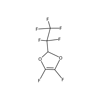 FC1=C(F)OC(C(F)(F)C(F)(F)F)O1